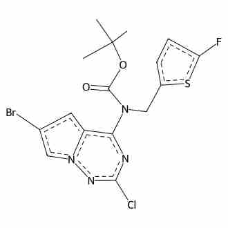 CC(C)(C)OC(=O)N(Cc1ccc(F)s1)c1nc(Cl)nn2cc(Br)cc12